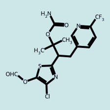 CC(C)(OC(N)=O)C(Cc1ccc(C(F)(F)F)nc1)c1nc(Cl)c(OC=O)s1